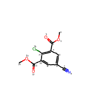 COC(=O)c1cc(C#N)cc(C(=O)OC)c1Cl